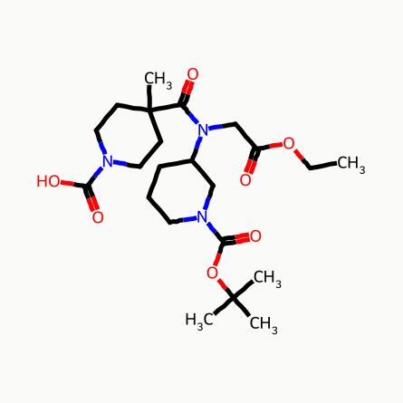 CCOC(=O)CN(C(=O)C1(C)CCN(C(=O)O)CC1)C1CCCN(C(=O)OC(C)(C)C)C1